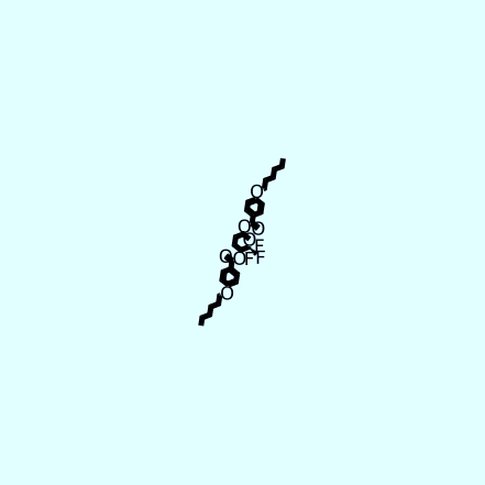 CCCCCCOc1ccc(C(=O)O[C@@H]2CC[C@@H](OC(=O)c3ccc(OCCCCCC)cc3)[C@H](C(F)(F)F)O2)cc1